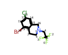 FC(F)(F)CN1CCc2c(Br)cc(Cl)cc2C1